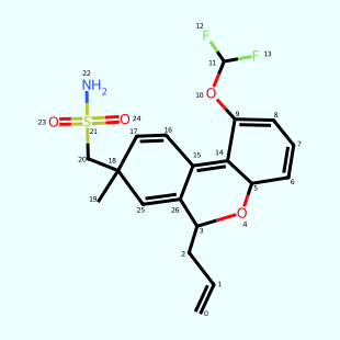 C=CCC1OC2C=CC=C(OC(F)F)C2=C2C=CC(C)(CS(N)(=O)=O)C=C21